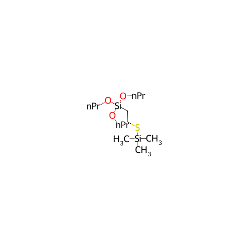 CCCO[Si](CCS[Si](C)(C)C)(OCCC)OCCC